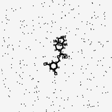 Cl.O=C(OCc1cc(Cl)cc(Cl)c1)N1CC[C@@H]2CNC[C@H]2C1